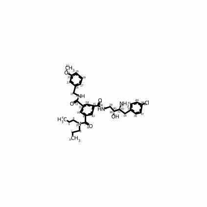 CCCN(CCC)C(=O)c1cc(C(=O)NCc2cccc(OC)c2)cc(C(=O)NC[C@@H](O)[C@@H](N)Cc2ccc(Cl)cc2)c1